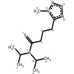 CC(C)N(C(=S)CCCc1nnnn1C)C(C)C